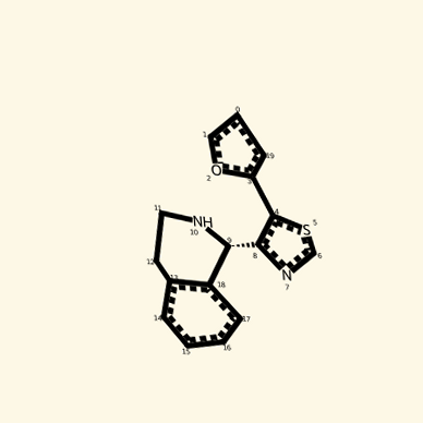 c1coc(-c2scnc2[C@H]2NCCc3ccccc32)c1